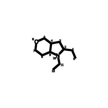 CCC1CC2COCCC2N1CC